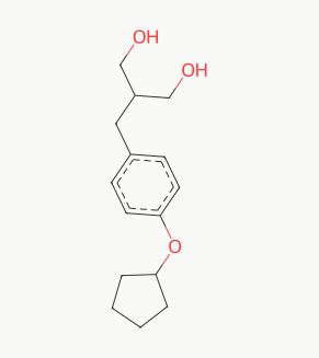 OCC(CO)Cc1ccc(OC2CCCC2)cc1